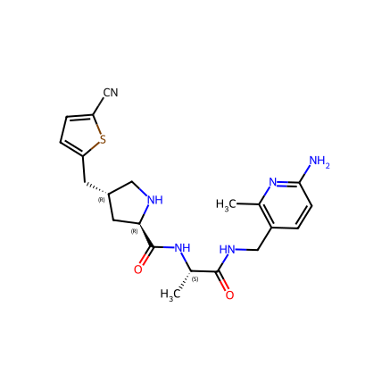 Cc1nc(N)ccc1CNC(=O)[C@H](C)NC(=O)[C@H]1C[C@H](Cc2ccc(C#N)s2)CN1